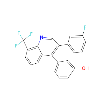 Oc1cccc(-c2c(-c3cccc(F)c3)cnc3c(C(F)(F)F)cccc23)c1